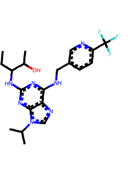 CCC(Nc1nc(NCc2ccc(C(F)(F)F)nc2)c2ncn(C(C)C)c2n1)C(C)O